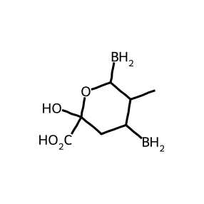 BC1CC(O)(C(=O)O)OC(B)C1C